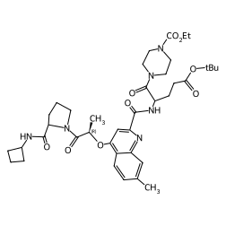 CCOC(=O)N1CCN(C(=O)C(CCC(=O)OC(C)(C)C)NC(=O)c2cc(O[C@H](C)C(=O)N3CCCC3C(=O)NC3CCC3)c3ccc(C)cc3n2)CC1